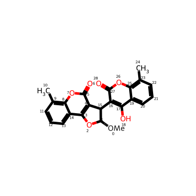 COC1Oc2c(c(=O)oc3c(C)cccc23)C1c1c(O)c2cccc(C)c2oc1=O